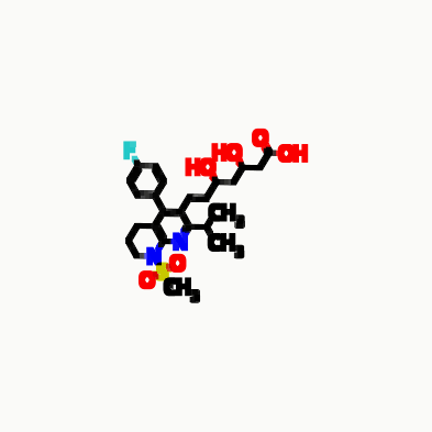 CC(C)c1nc2c(c(-c3ccc(F)cc3)c1/C=C/[C@@H](O)C[C@@H](O)CC(=O)O)CCCN2S(C)(=O)=O